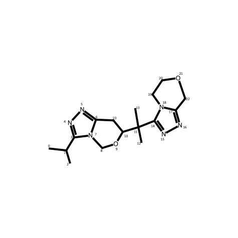 CC(C)c1nnc2n1COC(C(C)(C)c1nnc3n1CCOC3)C2